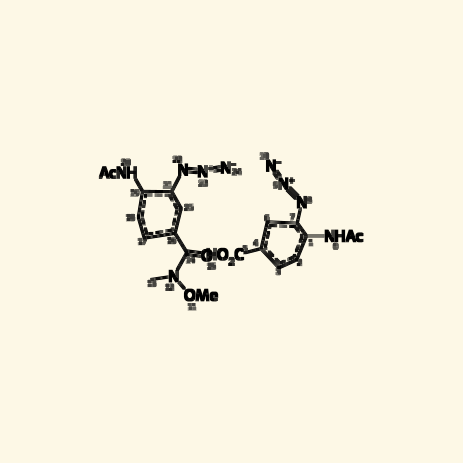 CC(=O)Nc1ccc(C(=O)O)cc1N=[N+]=[N-].CON(C)C(=O)c1ccc(NC(C)=O)c(N=[N+]=[N-])c1